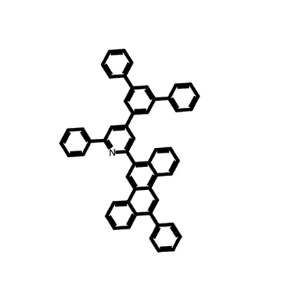 c1ccc(-c2cc(-c3ccccc3)cc(-c3cc(-c4ccccc4)nc(-c4cc5c6ccccc6c(-c6ccccc6)cc5c5ccccc45)c3)c2)cc1